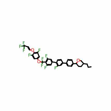 CCCC1CCC(c2ccc(-c3ccc(-c4cc(F)c(C(F)(F)Oc5cc(F)c(O/C=C/C(F)(F)F)c(F)c5)c(F)c4)c(F)c3)cc2)OC1